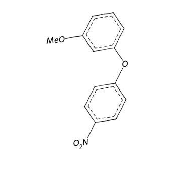 COc1cccc(Oc2ccc([N+](=O)[O-])cc2)c1